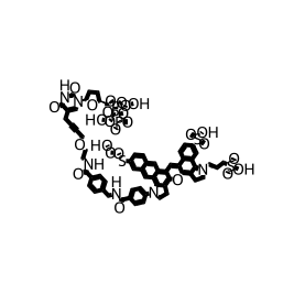 O=C(NCCOCC#CCc1cn([C@H]2CC[C@@H](COP(OO)(OOO)(P(=O)=O)P(=O)=O)O2)c(=O)[nH]c1=O)c1ccc(CNC(=O)c2ccc(N3CCc4c5c(c6cc7ccc(SOOO)cc7cc6c43)C=c3c(c4c(c6cc(S(=O)(=O)O)ccc36)=[N+](CCCS(=O)(=O)O)CC4)O5)cc2)cc1